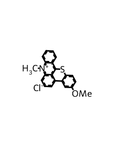 COc1ccc2c(c1)-c1cccc3c1c(c1ccccc1[n+]3C)S2.[Cl-]